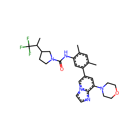 Cc1cc(C)c(-c2cc(N3CCOCC3)c3nccn3c2)cc1NC(=O)N1CCC(C(C)C(F)(F)F)C1